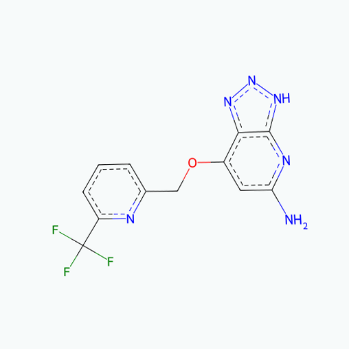 Nc1cc(OCc2cccc(C(F)(F)F)n2)c2nn[nH]c2n1